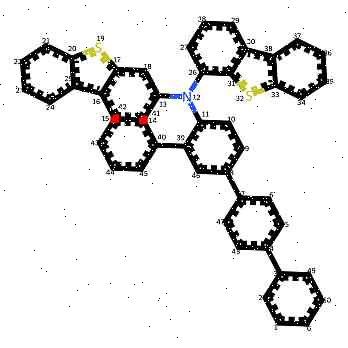 c1ccc(-c2ccc(-c3ccc(N(c4ccc5c(c4)sc4ccccc45)c4cccc5c4sc4ccccc45)c(-c4ccccc4)c3)cc2)cc1